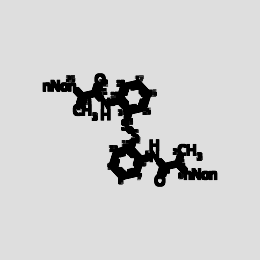 CCCCCCCCCC(C)C(=O)Nc1ccccc1SSc1ccccc1NC(=O)C(C)CCCCCCCCC